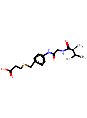 CC(C)[C@H](C)C(=O)NCC(=O)Nc1ccc(CSCCC(=O)O)cc1